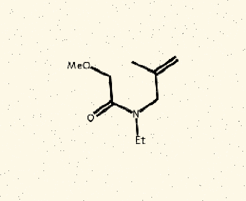 C=C(C)CN(CC)C(=O)COC